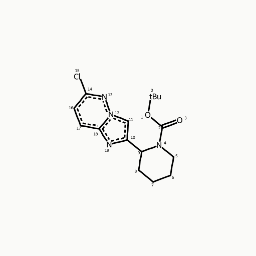 CC(C)(C)OC(=O)N1CCCCC1c1cn2nc(Cl)ccc2n1